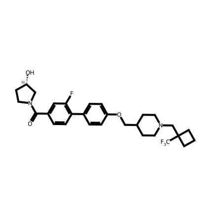 O=C(c1ccc(-c2ccc(OCC3CCN(CC4(C(F)(F)F)CCC4)CC3)cc2)c(F)c1)N1CC[C@H](O)C1